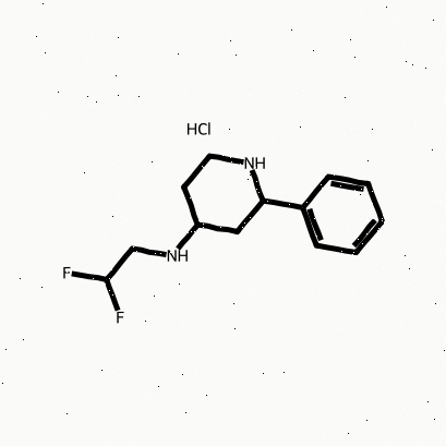 Cl.FC(F)CNC1CCNC(c2ccccc2)C1